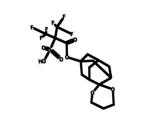 O=C(OC12CC3CC(C1)C1(OCCCO1)C(C3)C2)C(C(F)(F)F)(C(F)(F)F)S(=O)(=O)O